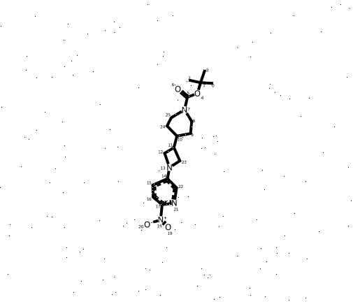 CC(C)(C)OC(=O)N1CCC(C2CN(c3ccc([N+](=O)[O-])nc3)C2)CC1